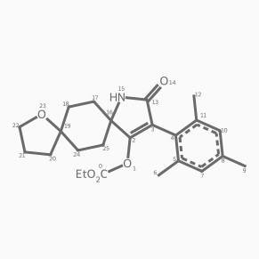 CCOC(=O)OC1=C(c2c(C)cc(C)cc2C)C(=O)NC12CCC1(CCCO1)CC2